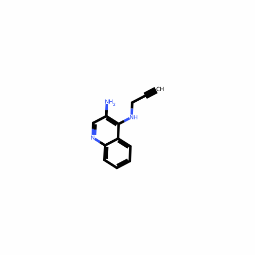 C#CCNc1c(N)cnc2ccccc12